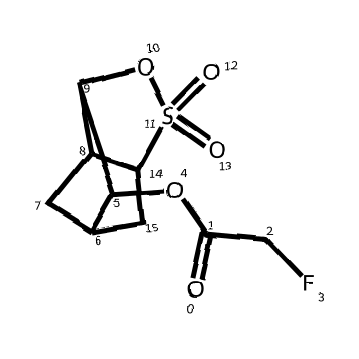 O=C(CF)OC1C2CC3C1OS(=O)(=O)C3C2